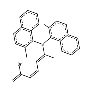 C=C(Br)/C=C\C=C(/C)B(c1c(C)ccc2ccccc12)c1c(C)ccc2ccccc12